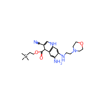 C[Si](C)(C)CCOC(=O)C1C(C#N)=CNc2cc(NCCN3CCOCC3)c(N)cc21